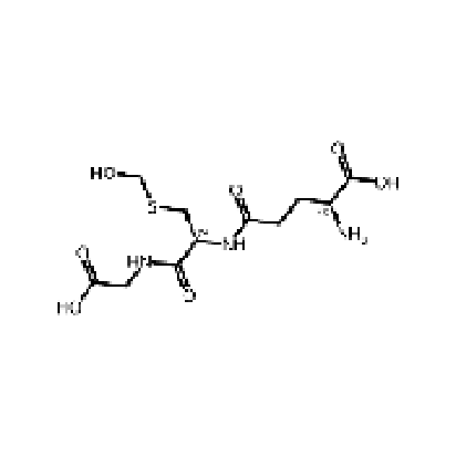 N[C@@H](CCC(=O)N[C@H](CSCO)C(=O)NCC(=O)O)C(=O)O